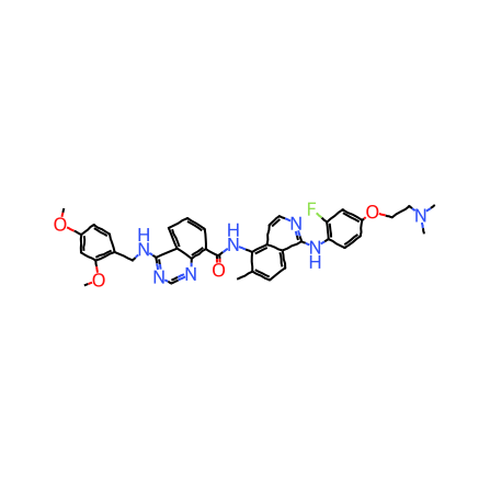 COc1ccc(CNc2ncnc3c(C(=O)Nc4c(C)ccc5c(Nc6ccc(OCCN(C)C)cc6F)nccc45)cccc23)c(OC)c1